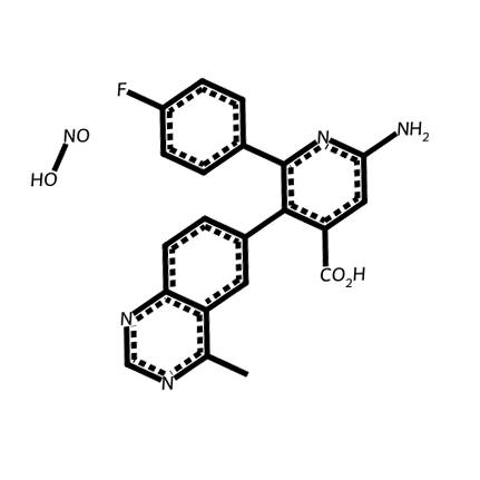 Cc1ncnc2ccc(-c3c(C(=O)O)cc(N)nc3-c3ccc(F)cc3)cc12.O=NO